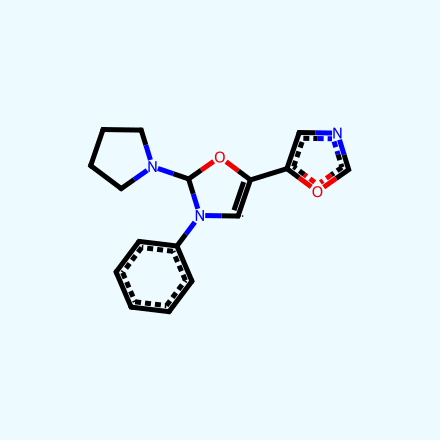 [C]1=C(c2cnco2)OC(N2CCCC2)N1c1ccccc1